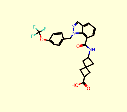 O=C(NC1CC2(C1)CC(C(=O)O)C2)c1cccc2cnn(Cc3ccc(OC(F)(F)F)cc3)c12